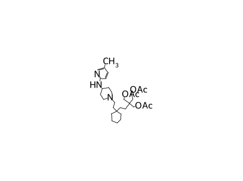 CC(=O)OCCC(CCC1(CCN2CCC(Nc3ccc(C)cn3)CC2)CCCCC1)(COC(C)=O)COC(C)=O